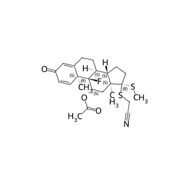 CS[C@@]1(SCC#N)CC[C@H]2[C@@H]3CCC4=CC(=O)C=C[C@]4(C)[C@@]3(F)[C@@H](OC(C)=O)C[C@@]21C